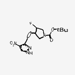 CC(C)(C)OC(=O)N1CC(F)C(Oc2n[nH]cc2[N+](=O)[O-])C1